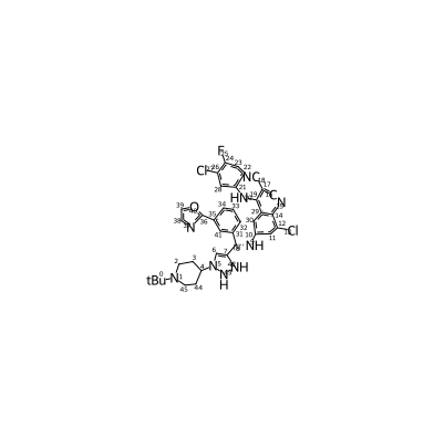 CC(C)(C)N1CCC(N2C=C([C@@H](Nc3cc(Cl)c4ncc(C#N)c(Nc5ccc(F)c(Cl)c5)c4c3)c3cccc(-c4ncco4)c3)NN2)CC1